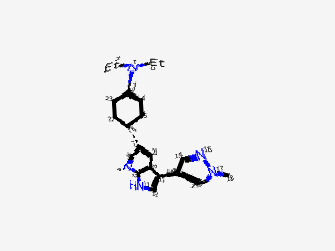 CCN(CC)[C@H]1CC[C@H](c2cnc3[nH]cc(-c4cnn(C)c4)c3c2)CC1